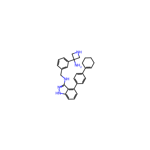 NC1(c2cccc(CNc3n[nH]c4cccc(-c5ccc(C6=CCCCC6)cc5)c34)c2)CNC1